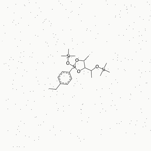 CCc1ccc([Si]2(O[Si](C)(C)C)OC(C)C(C(C)O[Si](C)(C)C)O2)cc1